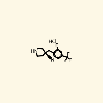 Cl.N#CC1(Cc2ccc(C(F)(F)F)cc2F)CCNCC1